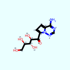 Nc1ncnn2c(C(=O)[C@H](O)[C@H](O)[C@H](O)CO)ccc12